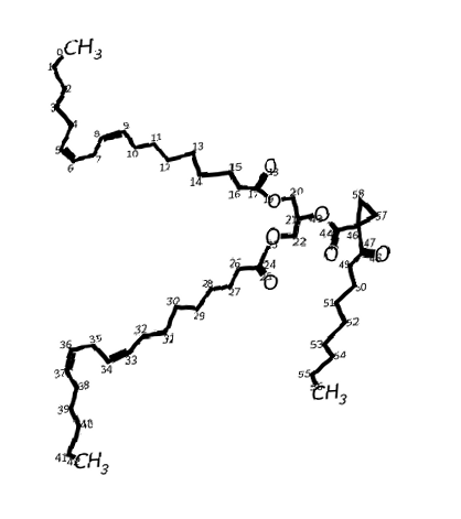 CCCCC/C=C\C/C=C\CCCCCCCC(=O)OCC(COC(=O)CCCCCCC/C=C\C/C=C\CCCCC)OC(=O)C1(C(=O)CCCCCCCC)CC1